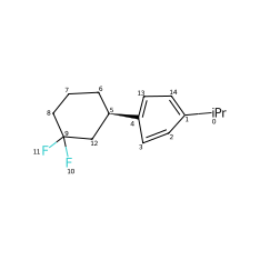 CC(C)c1ccc([C@@H]2CCCC(F)(F)C2)cc1